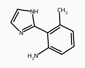 Cc1cccc(N)c1-c1ncc[nH]1